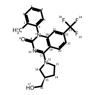 Cc1ccccc1-n1c(=O)nc(N2CC[C@@H](CO)C2)c2ccc(C(F)(F)F)cc21